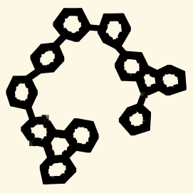 c1ccc(-n2c3ccccc3c3cc(-c4cccc(-c5cccc(-c6ccc(-c7cccc(-c8cnc9c%10ccccc%10c%10ccccc%10c9n8)c7)cc6)c5)c4)ccc32)cc1